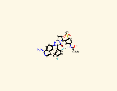 COC(=O)Nc1ccc(S(=O)(=O)C(C)C)c(C2CCCN2C(=O)C(Nc2ccc3c(N)nccc3c2)c2cc(C)c(F)cc2F)c1